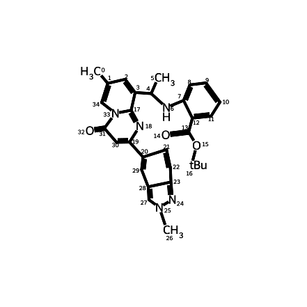 Cc1cc(C(C)Nc2ccccc2C(=O)OC(C)(C)C)c2nc(-c3ccc4nn(C)cc4c3)cc(=O)n2c1